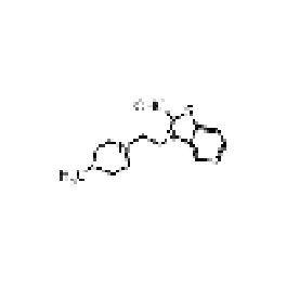 CC1CCN(CCN2c3ccccc3SC2C=O)CC1